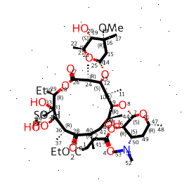 CCOC(=O)CCC(=O)O[C@H]1[C@H](O[C@@H]2[C@@H](C)[C@H](O[C@H]3C[C@@](C)(OC)[C@@H](O)[C@H](C)O3)[C@@H](C)C(=O)O[C@H](CC)[C@@](C)(O)[C@H](O)[C@@H](C)C(=O)[C@H](C)C[C@@]2(C)O)O[C@H](C)C[C@@H]1N(C)C.O=S(=O)(O)O